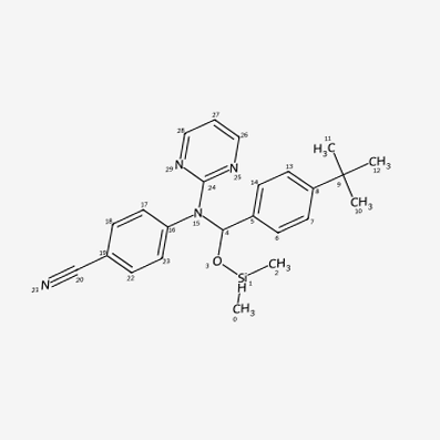 C[SiH](C)OC(c1ccc(C(C)(C)C)cc1)N(c1ccc(C#N)cc1)c1ncccn1